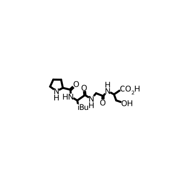 CCC(C)C(NC(=O)C1CCCN1)C(=O)NCC(=O)NC(CO)C(=O)O